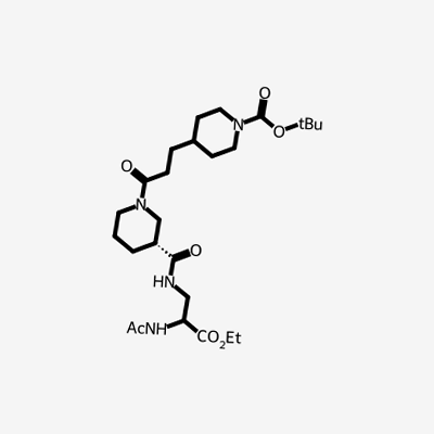 CCOC(=O)C(CNC(=O)[C@@H]1CCCN(C(=O)CCC2CCN(C(=O)OC(C)(C)C)CC2)C1)NC(C)=O